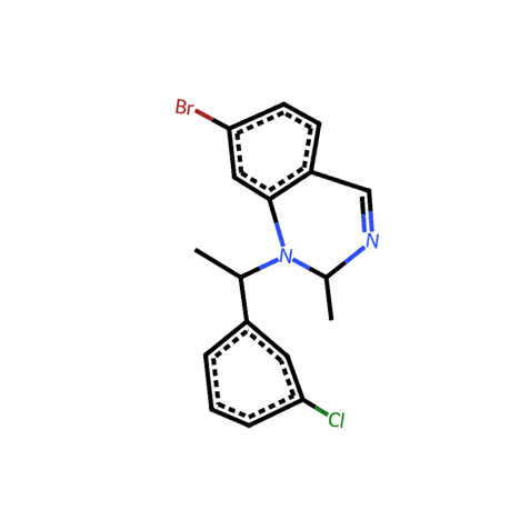 CC1N=Cc2ccc(Br)cc2N1C(C)c1cccc(Cl)c1